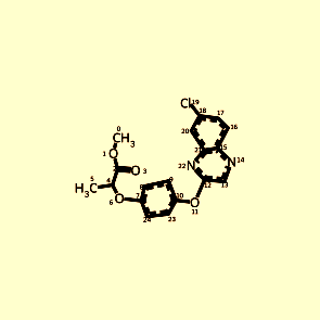 COC(=O)C(C)Oc1ccc(Oc2cnc3ccc(Cl)cc3n2)cc1